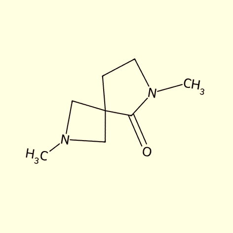 CN1CC2(CCN(C)C2=O)C1